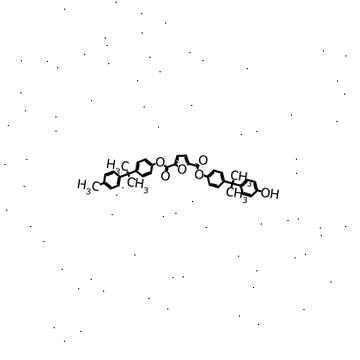 Cc1ccc(C(C)(C)c2ccc(OC(=O)c3ccc(C(=O)Oc4ccc(C(C)(C)c5ccc(O)cc5)cc4)o3)cc2)cc1